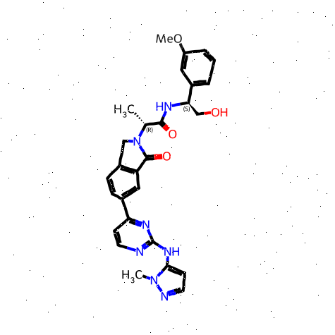 COc1cccc([C@@H](CO)NC(=O)[C@@H](C)N2Cc3ccc(-c4ccnc(Nc5ccnn5C)n4)cc3C2=O)c1